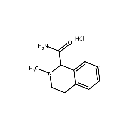 CN1CCc2cc[c]cc2C1C(N)=O.Cl